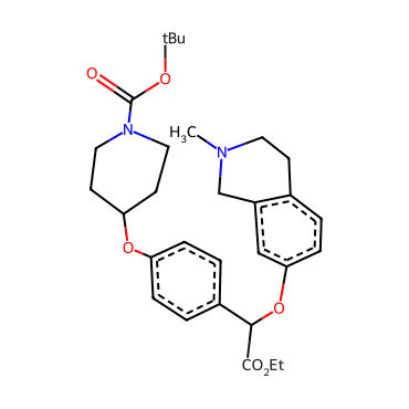 CCOC(=O)C(Oc1ccc2c(c1)CN(C)CC2)c1ccc(OC2CCN(C(=O)OC(C)(C)C)CC2)cc1